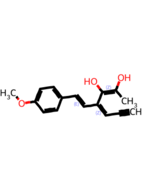 C#C/C=C(/C=C/c1ccc(OC)cc1)C(\O)=C(/C)O